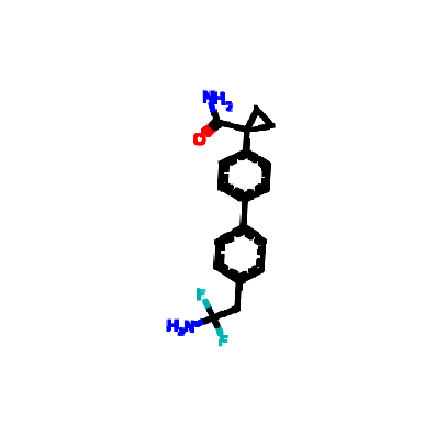 NC(=O)C1(c2ccc(-c3ccc(CC(N)(F)F)cc3)cc2)CC1